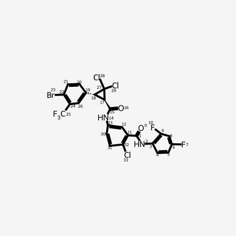 O=C(Nc1ccc(F)cc1F)c1cc(NC(=O)[C@H]2[C@H](c3ccc(Br)c(C(F)(F)F)c3)C2(Cl)Cl)ccc1Cl